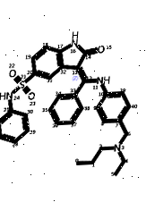 CCCN(CC)Cc1ccc(N/C(=C2\C(=O)Nc3ccc(S(=O)(=O)Nc4ccccc4)cc32)c2ccccc2)cc1